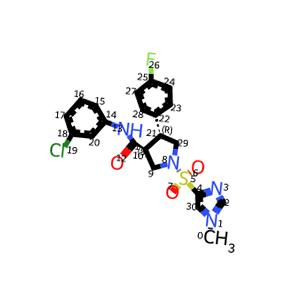 Cn1cnc(S(=O)(=O)N2C[C@@H](C(=O)Nc3cccc(Cl)c3)[C@H](c3ccc(F)cc3)C2)c1